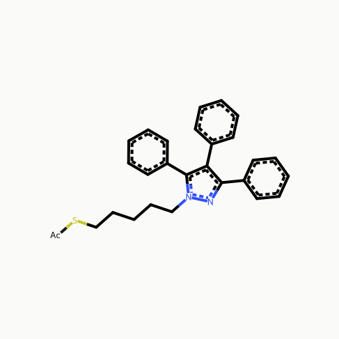 CC(=O)SCCCCCn1nc(-c2ccccc2)c(-c2ccccc2)c1-c1ccccc1